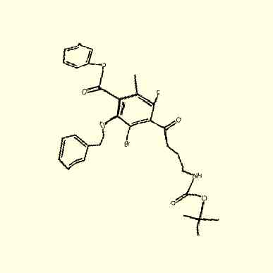 Cc1c(F)c(C(=O)CCCNC(=O)OC(C)(C)C)c(Br)c(OCc2ccccc2)c1C(=O)Oc1ccccc1